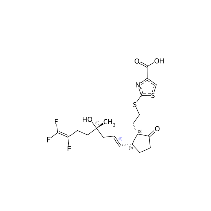 C[C@@](O)(C/C=C/[C@H]1CCC(=O)[C@H]1CCSc1nc(C(=O)O)cs1)CCC(F)=C(F)F